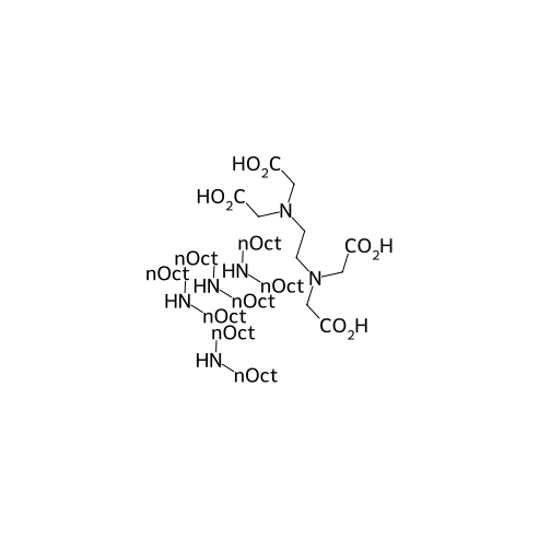 CCCCCCCCNCCCCCCCC.CCCCCCCCNCCCCCCCC.CCCCCCCCNCCCCCCCC.CCCCCCCCNCCCCCCCC.O=C(O)CN(CCN(CC(=O)O)CC(=O)O)CC(=O)O